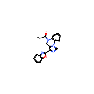 COC(=O)N1Cc2c(-c3nc4ccccc4o3)ncn2-c2ccccc21